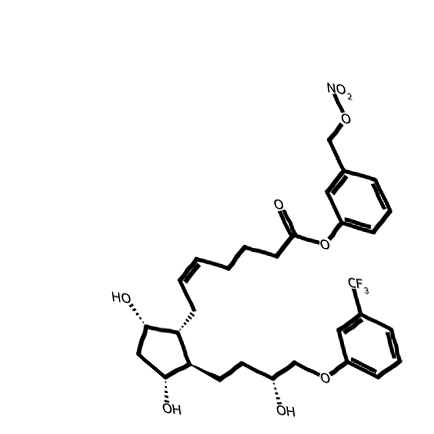 O=C(CCC/C=C\C[C@@H]1[C@@H](CC[C@@H](O)COc2cccc(C(F)(F)F)c2)[C@H](O)C[C@@H]1O)Oc1cccc(CO[N+](=O)[O-])c1